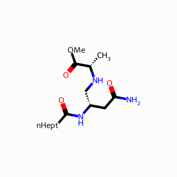 CCCCCCCC(=O)N[C@H](CN[C@@H](C)C(=O)OC)CC(N)=O